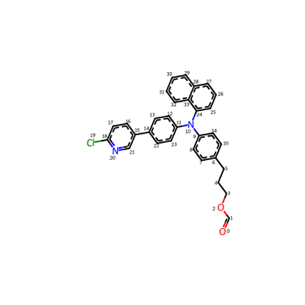 O=COCCCc1ccc(N(c2ccc(-c3ccc(Cl)nc3)cc2)c2cccc3ccccc23)cc1